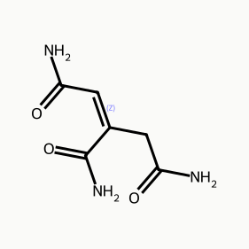 NC(=O)/C=C(/CC(N)=O)C(N)=O